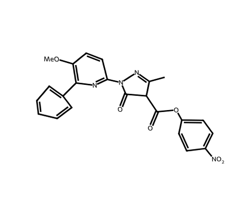 COc1ccc(N2N=C(C)C(C(=O)Oc3ccc([N+](=O)[O-])cc3)C2=O)nc1-c1ccccc1